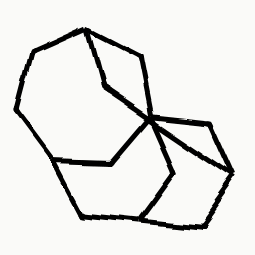 C1CC2CC3CC4CC1CC(C2)(C4)C3